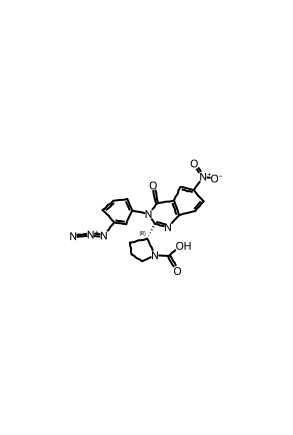 [N-]=[N+]=Nc1cccc(-n2c([C@H]3CCCN3C(=O)O)nc3ccc([N+](=O)[O-])cc3c2=O)c1